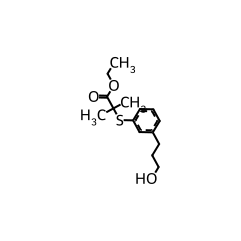 CCOC(=O)C(C)(C)Sc1cccc(CCCO)c1